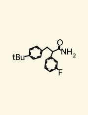 CC(C)(C)c1ccc(CC(C(N)=O)c2cccc(F)c2)cc1